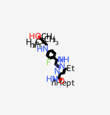 CCCCCCCNC(=O)C1=N/C(=C/C(=N)c2ccc(NCC(C)(CCC)C(C)(C)O)cc2F)NC(CC)=C1